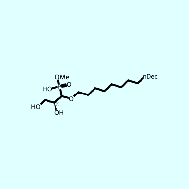 CCCCCCCCCCCCCCCCCCOC([C@@H](O)CO)P(=O)(O)OC